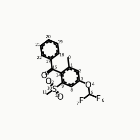 Cc1cc(OC(F)F)cc(S(C)(=O)=O)c1C(=O)c1ccccc1